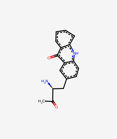 CC(=O)[C@@H](N)Cc1ccc2[nH]c3ccccc3c(=O)c2c1